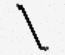 O=C(O)CCCCCCCCCCCCCCC=CCCCCCCCCC12CC(F)(C1)C2